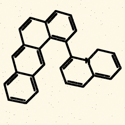 C1=CCN2C(=C1)C=CC=C2c1cccc2ccc3cc4ccccc4cc3c12